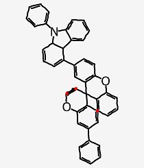 C1=CC2C(C(c3ccc4c(c3)C3(c5ccccc5Oc5cc(-c6ccccc6)ccc53)c3ccccc3O4)=C1)c1ccccc1N2c1ccccc1